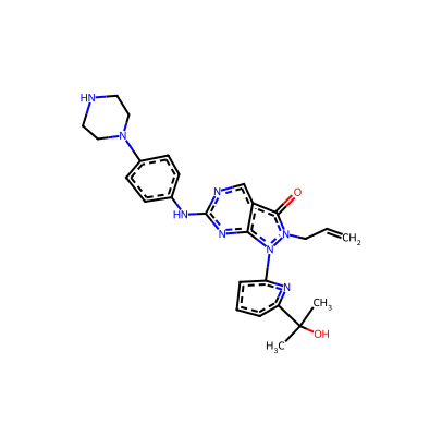 C=CCn1c(=O)c2cnc(Nc3ccc(N4CCNCC4)cc3)nc2n1-c1cccc(C(C)(C)O)n1